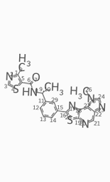 Cc1ncsc1C(=O)N[C@@H](C)c1cccc(-c2nc3c(ncc4ncn(C)c43)s2)c1